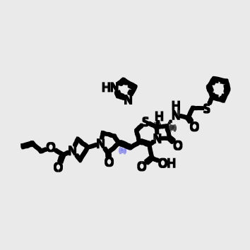 C=CCOC(=O)N1CC(N2CC/C(=C\C3=C(C(=O)O)N4C(=O)[C@@H](NC(=O)CSc5ccccc5)[C@H]4SC3)C2=O)C1.c1c[nH]cn1